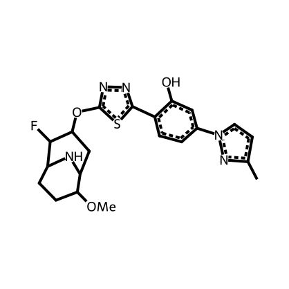 COC1CCC2NC1CC(Oc1nnc(-c3ccc(-n4ccc(C)n4)cc3O)s1)C2F